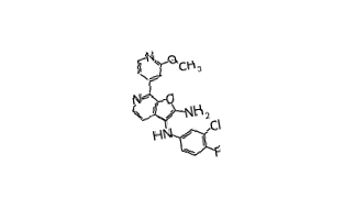 COc1cc(-c2nccc3c(Nc4ccc(F)c(Cl)c4)c(N)oc23)ccn1